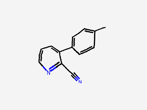 Cc1ccc(-c2cccnc2C#N)cc1